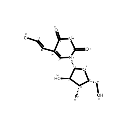 O=c1[nH]c(=O)n([C@@H]2O[C@H](CO)[C@H](Br)[C@H]2O)cc1/C=C/Cl